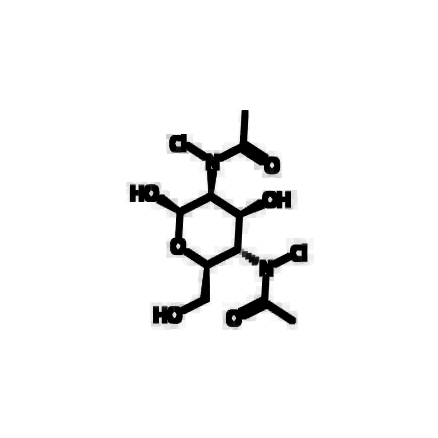 CC(=O)N(Cl)[C@H]1[C@@H](O)[C@H](N(Cl)C(C)=O)[C@@H](CO)O[C@H]1O